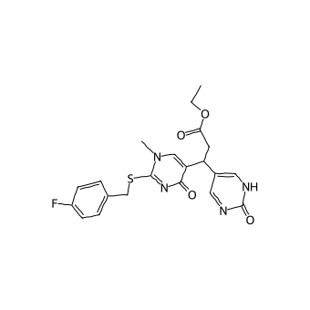 CCOC(=O)CC(c1cnc(=O)[nH]c1)c1cn(C)c(SCc2ccc(F)cc2)nc1=O